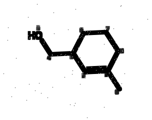 CC1=CC(CO)CCC1